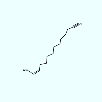 C#CCCCCCCCCC/C=C\CCCC